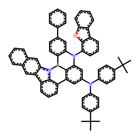 CC(C)(C)c1ccc(N(c2ccc(C(C)(C)C)cc2)c2cc3c4c(c2)N(c2cccc5c2oc2ccccc25)c2cc(-c5ccccc5)ccc2B4n2c4cc5ccccc5cc4c4cccc-3c42)cc1